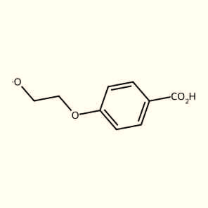 [O]CCOc1ccc(C(=O)O)cc1